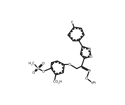 CCCO/N=C(\COc1ccc(OS(C)(=O)=O)c(C(=O)O)c1)c1cc(-c2ccc(F)cc2)no1